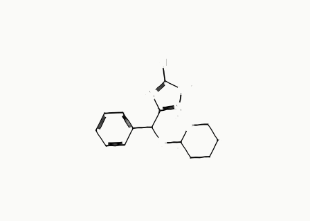 Clc1nc(C(OC2CCCCO2)c2ccccc2)ns1